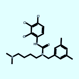 Cc1cc(C)cc(CN(CCCCN(C)C)C(=S)Nc2ccc(Cl)c(Cl)c2Cl)c1